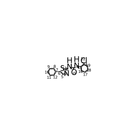 O=C(Nc1ncc(-c2ccccc2)s1)Nc1ccccc1Cl